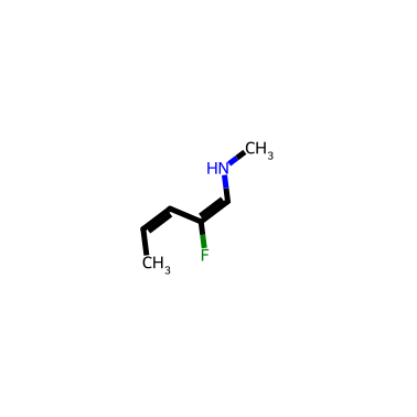 C/C=C\C(F)=C/NC